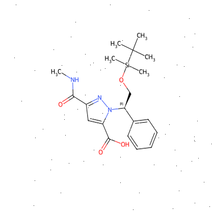 CNC(=O)c1cc(C(=O)O)n([C@@H](CO[Si](C)(C)C(C)(C)C)c2ccccc2)n1